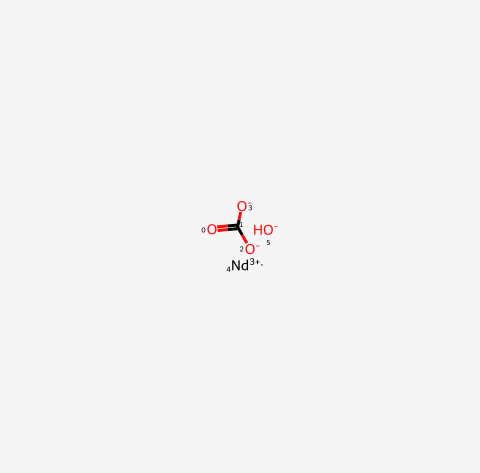 O=C([O-])[O-].[Nd+3].[OH-]